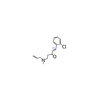 C=CCN(C)CCC(=O)/C=C/c1ccccc1Cl